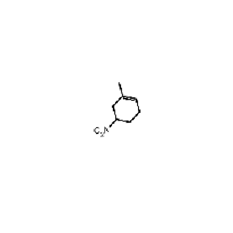 CC1=CCCC([N+](=O)[O-])C1